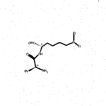 CCN(CC)CCCC[C@@H](C=O)NC(=O)[C@@H](N)C(C)C